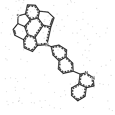 C1=CC2Sc3ccc4c5c3c2c2c1ccc1c2c5c(n1-c1ccc2cc(-c3nncc5ccccc35)ccc2c1)=CC4